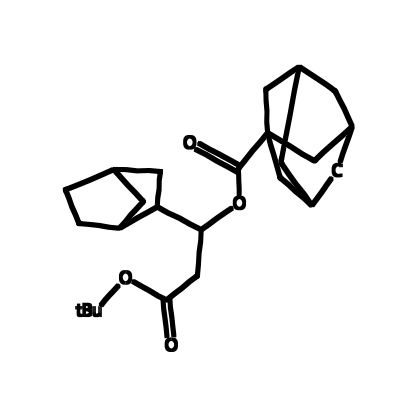 CC(C)(C)OC(=O)CC(OC(=O)C12CC3CC(CC(C3)C1)C2)C1CC2CCC1C2